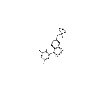 Cc1cc(C)c(C)c(-c2ncnc3cc(CC(C)(C)C(F)(F)F)ccc23)c1